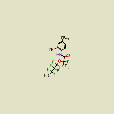 N#Cc1cc([N+](=O)[O-])ccc1NC(=O)C(F)(OC(F)(F)C(F)(F)C(F)(F)C(F)(F)F)C(F)(F)F